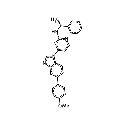 COc1ccc(-c2ccc3c(c2)ncn3-c2ccnc(N[C@@H](C)c3ccccc3)n2)cc1